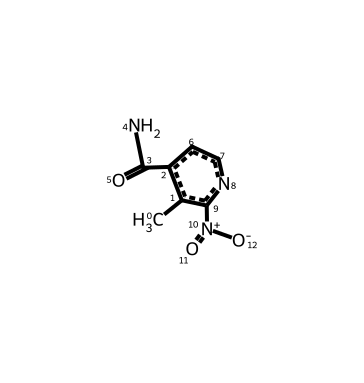 Cc1c(C(N)=O)ccnc1[N+](=O)[O-]